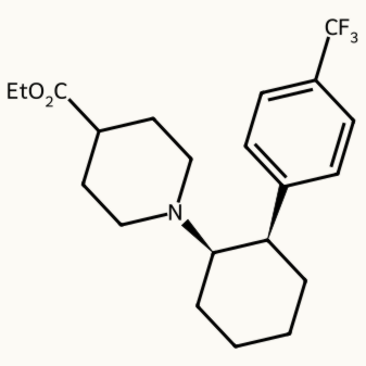 CCOC(=O)C1CCN([C@@H]2CCCC[C@@H]2c2ccc(C(F)(F)F)cc2)CC1